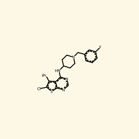 CC(C)c1c(Cl)sc2ncnc(NC3CCN(Cc4cccc(F)c4)CC3)c12